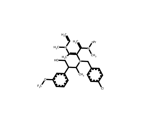 C=CN(C)/C(C)=C(\C(=C)N(C)CCC)N(Cc1ccc(Cl)cc1)C(C)C(CO)c1cccc(OC(F)(F)F)c1